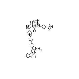 Cc1ncsc1-c1ccc([C@H](C)NC(=O)[Si@@H]2CC(=O)CN2C(=O)C(c2cc(C3CCN(C4CCN(c5ccc(-c6cc(-c7ccccc7O)nnc6N)cc5)CC4)CC3)no2)C(C)C)cc1